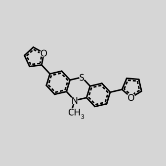 CN1c2ccc(-c3ccco3)cc2Sc2cc(-c3ccco3)ccc21